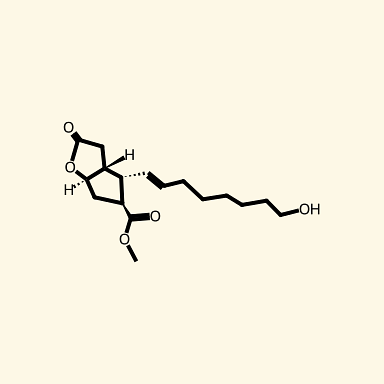 COC(=O)[C@H]1C[C@H]2OC(=O)C[C@@H]2[C@@H]1C=CCCCCCCO